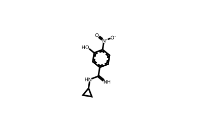 N=C(NC1CC1)c1ccc([N+](=O)[O-])c(O)c1